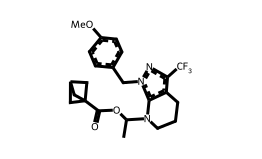 COc1ccc(Cn2nc(C(F)(F)F)c3c2N(C(C)OC(=O)C24CC(C2)C4)CCC3)cc1